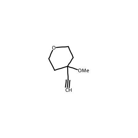 C#CC1(OC)CCOCC1